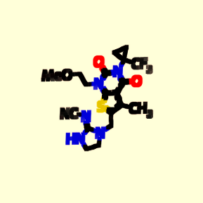 COCCn1c(=O)n(C2(C(F)(F)F)CC2)c(=O)c2c(C)c(CN3CCN/C3=N\C#N)sc21